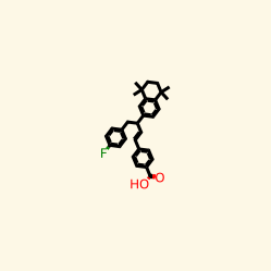 CC1(C)CCC(C)(C)c2cc(C(C=Cc3ccc(C(=O)O)cc3)Cc3ccc(F)cc3)ccc21